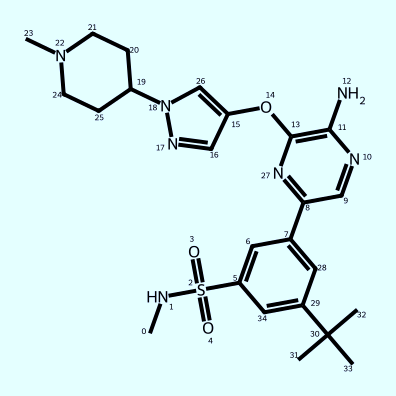 CNS(=O)(=O)c1cc(-c2cnc(N)c(Oc3cnn(C4CCN(C)CC4)c3)n2)cc(C(C)(C)C)c1